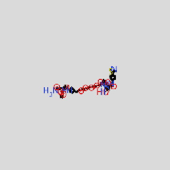 Cc1ncsc1-c1ccc(CNC(=O)[C@@H]2C[C@@H](O)CN2C(=O)[C@@H](NC(=O)COCCOCCOCCOCCc2ccc(CO[C@H](C)[C@H](CCC(N)=O)NC(=O)OC(C)(C)C)cc2)C(C)(C)C)cc1